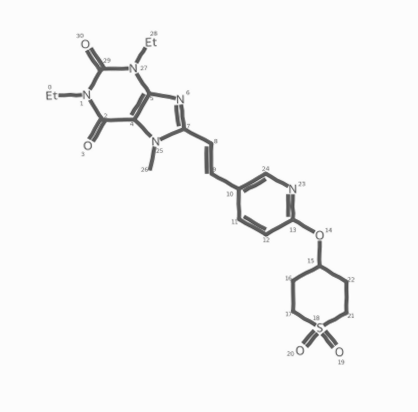 CCn1c(=O)c2c(nc(C=Cc3ccc(OC4CCS(=O)(=O)CC4)nc3)n2C)n(CC)c1=O